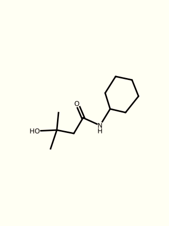 CC(C)(O)CC(=O)NC1CCCCC1